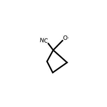 N#CC1([O])CCC1